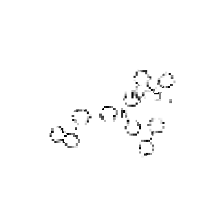 CC1(C)c2ccccc2-c2cccc(-c3ccc(N(c4ccc(-c5cccc(-c6cccc7ccccc67)c5)cc4)c4cccc(-c5ccccc5-c5ccccc5)c4)cc3)c21